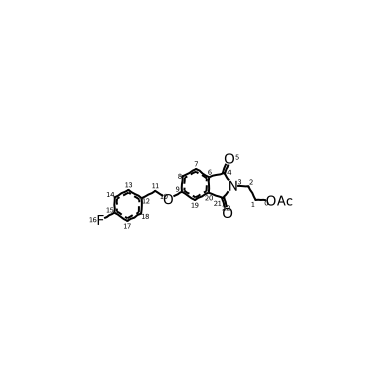 CC(=O)OCCN1C(=O)c2ccc(OCc3ccc(F)cc3)cc2C1=O